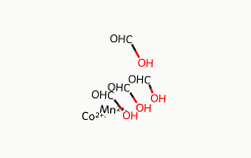 O=[C-]O.O=[C-]O.O=[C-]O.O=[C-]O.[Co+2].[Mn+2]